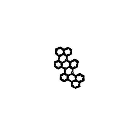 c1cc2c3c(c1)-c1cccc4cccc(c14)N3c1cccc3c1B2c1cccc2c1N3c1cccc3cccc-2c13